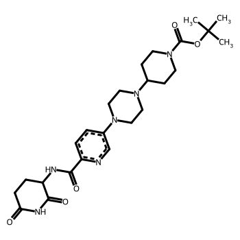 CC(C)(C)OC(=O)N1CCC(N2CCN(c3ccc(C(=O)NC4CCC(=O)NC4=O)nc3)CC2)CC1